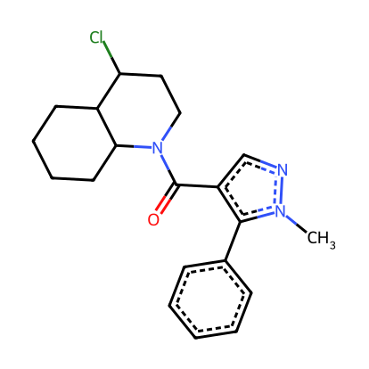 Cn1ncc(C(=O)N2CCC(Cl)C3CCCCC32)c1-c1ccccc1